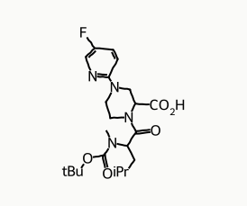 CC(C)CC(C(=O)N1CCN(c2ccc(F)cn2)CC1C(=O)O)N(C)C(=O)OC(C)(C)C